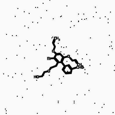 C=CCOc1cc(OCC=C)c(-c2cccc(C=O)c2)c(CCOCCO)c1CC